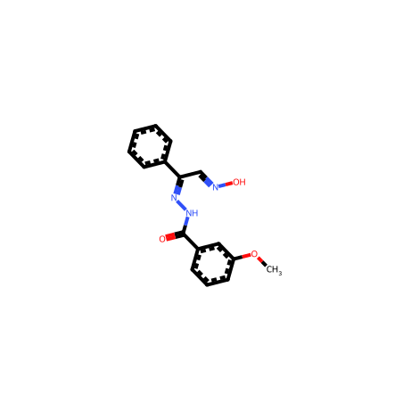 COc1cccc(C(=O)NN=C(C=NO)c2ccccc2)c1